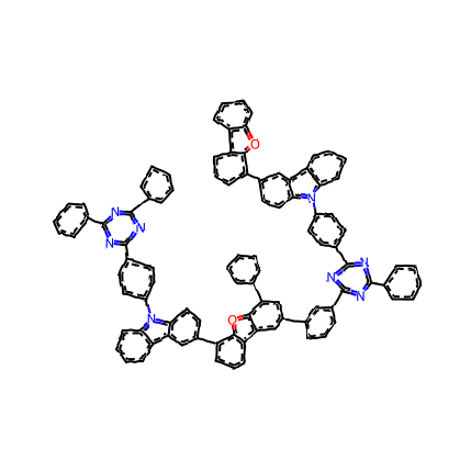 c1ccc(-c2nc(-c3ccccc3)nc(-c3ccc(-n4c5ccccc5c5cc(-c6cccc7c6oc6c(-c8ccccc8)cc(-c8cccc(-c9nc(-c%10ccccc%10)nc(-c%10ccc(-n%11c%12ccccc%12c%12cc(-c%13cccc%14c%13oc%13ccccc%13%14)ccc%12%11)cc%10)n9)c8)cc67)ccc54)cc3)n2)cc1